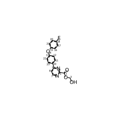 O=C(OCO)c1nccc(-c2ccc(Oc3ccc(F)cc3)cc2)n1